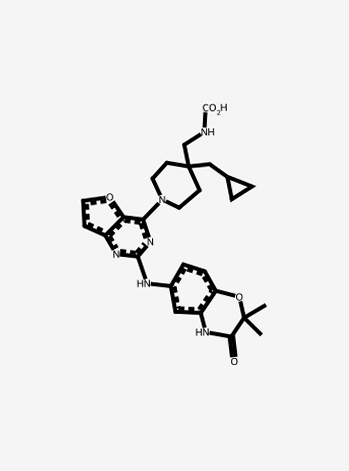 CC1(C)Oc2ccc(Nc3nc(N4CCC(CNC(=O)O)(CC5CC5)CC4)c4occc4n3)cc2NC1=O